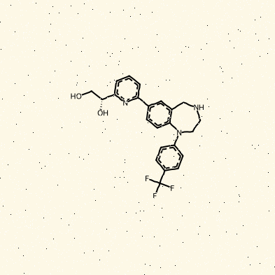 OC[C@@H](O)c1cccc(-c2ccc3c(c2)CNCCN3c2ccc(C(F)(F)F)cc2)n1